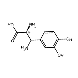 NC(c1ccc(O)c(O)c1)[C@H](N)C(=O)O